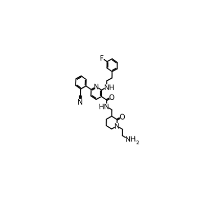 N#Cc1ccccc1-c1ccc(C(=O)NCC2CCCN(CCN)C2=O)c(NCCc2cccc(F)c2)n1